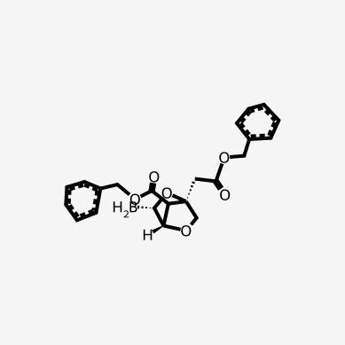 B[C@@H]1O[C@@]2(CC(=O)OCc3ccccc3)CO[C@H]1C2C(=O)OCc1ccccc1